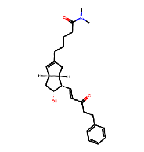 CN(C)C(=O)CCCCC1=C[C@H]2C[C@@H](O)[C@H](/C=C/C(=O)CCc3ccccc3)[C@H]2C1